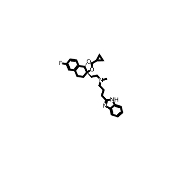 C[C@H]1c2ccc(F)cc2CC[C@@]1(CCN(C)CCCc1nc2ccccc2[nH]1)OC(=O)C1CC1